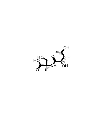 C[C@@H]([C@@H](C)O)[C@@H](O)C(=O)N[C@@](C)(CO)C(=O)O